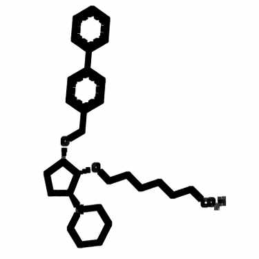 O=C(O)CCCCCCO[C@H]1[C@@H](OCc2ccc(-c3ccccc3)cc2)CC[C@@H]1N1CCCCC1